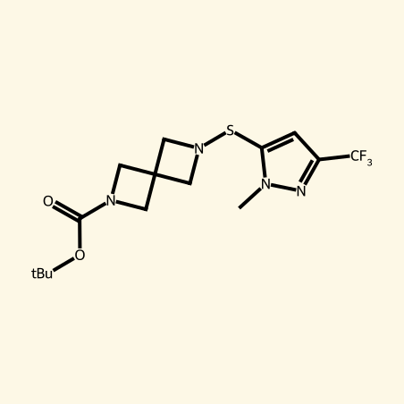 Cn1nc(C(F)(F)F)cc1SN1CC2(C1)CN(C(=O)OC(C)(C)C)C2